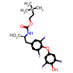 C[Si](C)(C)CCOC(=O)N[C@@H](Cc1cc(I)c(Oc2cc(I)c(O)c(I)c2)c(I)c1)C(=O)O